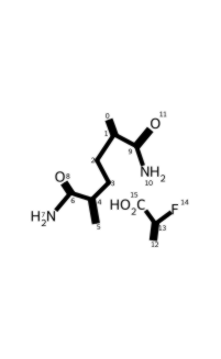 C=C(CCC(=C)C(N)=O)C(N)=O.C=C(F)C(=O)O